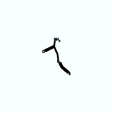 NC(=O)CN=C=S